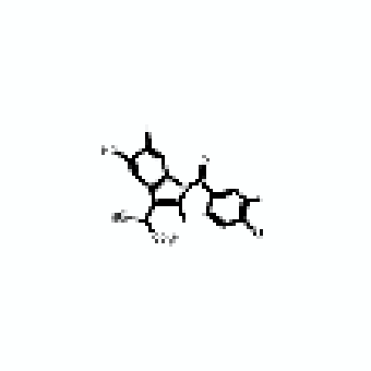 CC[C@H](C)C(C(=O)O)c1c(C)n(C(=O)c2ccc(Cl)c(Cl)c2)c2cc(F)c(O)cc12